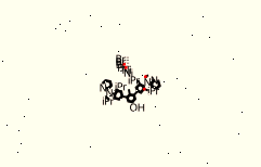 CC=[N+](c1ccccn1)c1c(C(C)C)cc(-c2cc(O)cc(-c3cc(C(C)C)c([N+](=CC)c4ccccn4)c(C(C)C)c3)c2C)cc1C(C)C.[Br-].[Br-].[Br-].[Br-].[Ni].[Ni]